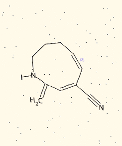 C=C1C=C(C#N)/C=C\CCCN1I